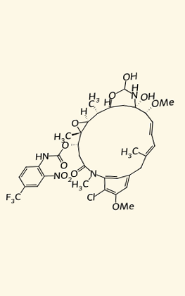 COc1cc2cc(c1Cl)N(C)C(=O)C[C@H](OC(=O)Nc1ccc(C(F)(F)F)cc1[N+](=O)[O-])[C@]1(C)O[C@H]1[C@H](C)[C@@H]1C[C@@](O)(NC(O)O1)[C@H](OC)/C=C/C=C(\C)C2